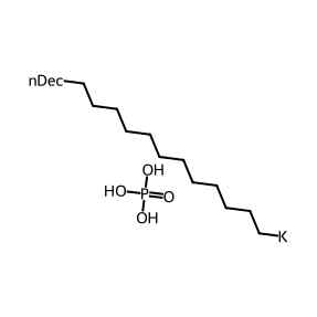 CCCCCCCCCCCCCCCCCCCCC[CH2][K].O=P(O)(O)O